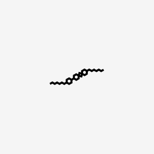 CCCCCCCC1CCC(C2CCC3(CC2)CC2(CCC(CCCCCCC)CC2)C3)CC1